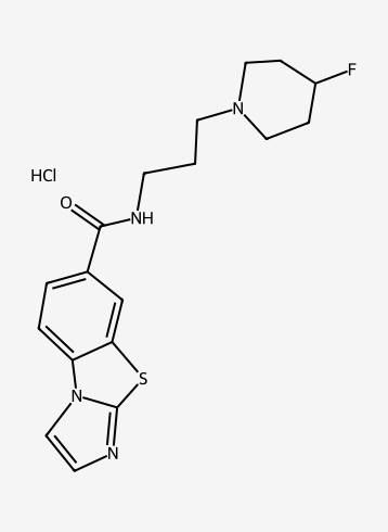 Cl.O=C(NCCCN1CCC(F)CC1)c1ccc2c(c1)sc1nccn12